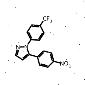 O=[N+]([O-])c1ccc(-c2ccnn2-c2ccc(C(F)(F)F)cc2)cc1